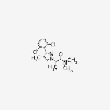 Cc1cn(C(C)C(=O)N(C)C)nc1-c1c(Cl)cccc1Cl